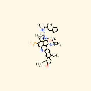 C=C(CNC(=C)C(C)Cc1ccccc1)NCOC1(C(=C)NC2CCc3c(C)c(P)cc4nc5c(c2c34)CC2C(=C)C3=C(C=C52)C(CC)C(=O)CC3)CC1